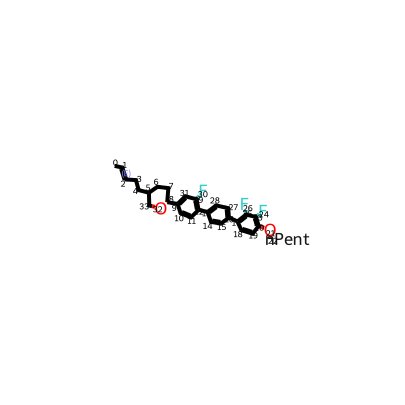 C/C=C/CCC1CCC(c2ccc(-c3ccc(-c4ccc(OCCCCC)c(F)c4F)cc3)c(F)c2)OC1